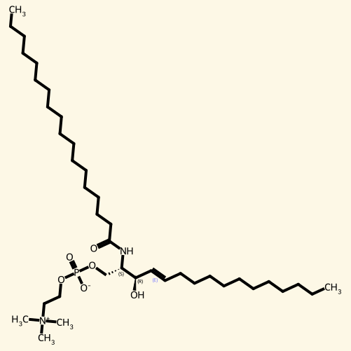 CCCCCCCCCCC/C=C/[C@@H](O)[C@H](COP(=O)([O-])OCC[N+](C)(C)C)NC(=O)CCCCCCCCCCCCCCCCC